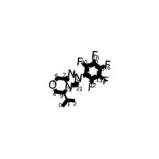 CC(C)[C@H]1COCc2n[n+](-c3c(F)c(F)c(F)c(F)c3F)cn21